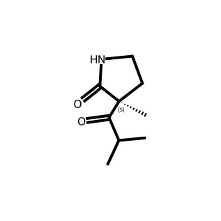 CC(C)C(=O)[C@]1(C)CCNC1=O